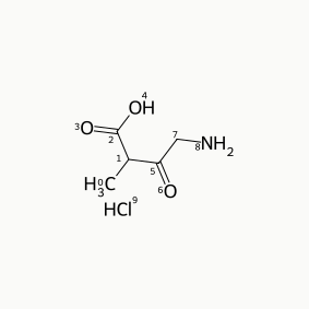 CC(C(=O)O)C(=O)CN.Cl